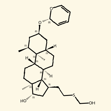 C[C@H]1C[C@@H](O[C@H]2C=CC=CO2)C[C@@H]2CC[C@H]3[C@@H]4[C@@H](CCSCO)C[C@H](O)[C@@]4(C)CC[C@@H]3[C@]21C